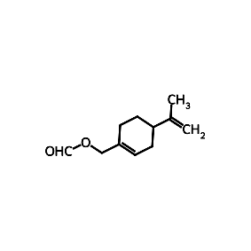 C=C(C)C1CC=C(COC=O)CC1